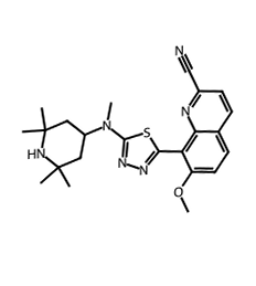 COc1ccc2ccc(C#N)nc2c1-c1nnc(N(C)C2CC(C)(C)NC(C)(C)C2)s1